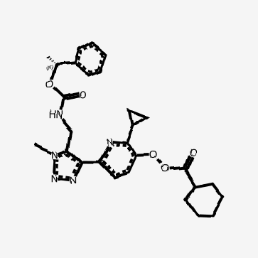 C[C@@H](OC(=O)NCc1c(-c2ccc(OOC(=O)C3CCCCC3)c(C3CC3)n2)nnn1C)c1ccccc1